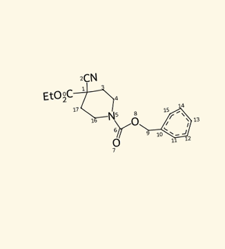 CCOC(=O)C1(C#N)CCN(C(=O)OCc2ccccc2)CC1